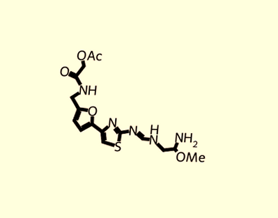 COC(N)CNC=Nc1nc(-c2ccc(CNC(=O)COC(C)=O)o2)cs1